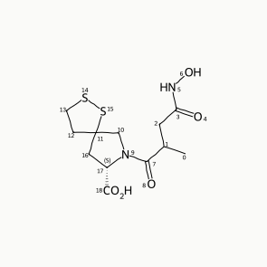 CC(CC(=O)NO)C(=O)N1CC2(CCSS2)C[C@H]1C(=O)O